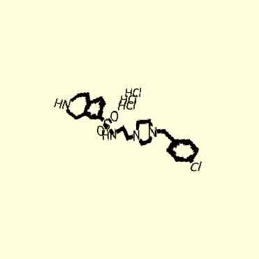 Cl.Cl.Cl.O=S(=O)(NCCN1CCN(Cc2ccc(Cl)cc2)CC1)c1ccc2c(c1)CCNCC2